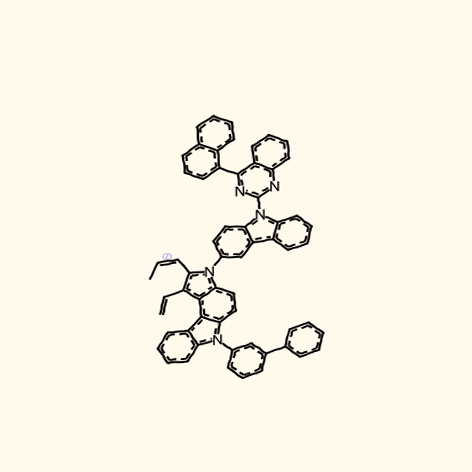 C=Cc1c(/C=C\C)n(-c2ccc3c(c2)c2ccccc2n3-c2nc(-c3cccc4ccccc34)c3ccccc3n2)c2ccc3c(c4ccccc4n3-c3cccc(-c4ccccc4)c3)c12